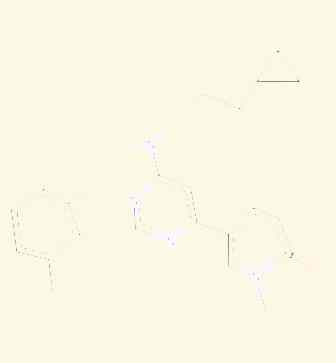 Cn1cc(-c2cc(NS(=O)(=O)CCC3CC3)nc(Oc3c(F)cccc3Cl)n2)ccc1=O